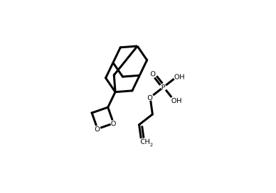 C1C2CC3CC1CC(C1COO1)(C2)C3.C=CCOP(=O)(O)O